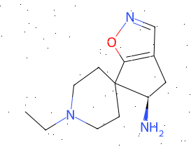 CCN1CCC2(CC1)c1oncc1C[C@H]2N